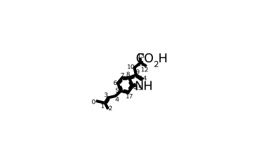 CC(C)=CCc1ccc2c(CC(C)C(=O)O)c[nH]c2c1